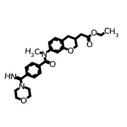 CCOC(=O)CC1COc2cc(N(C)C(=O)c3ccc(C(=N)N4CCOCC4)cc3)ccc2C1